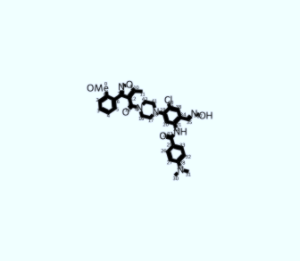 COc1ccccc1-c1noc(C)c1C(=O)N1CCN(c2cc(NC(=O)c3ccc(N(C)C)cc3)c(/C=N/O)cc2Cl)CC1